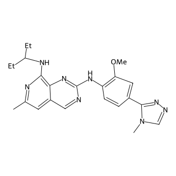 CCC(CC)Nc1nc(C)cc2cnc(Nc3ccc(-c4nncn4C)cc3OC)nc12